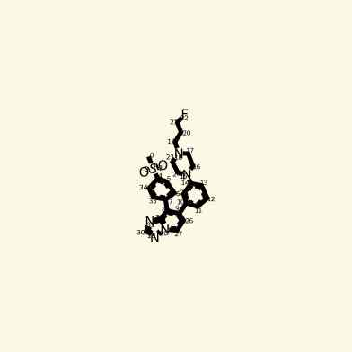 CS(=O)(=O)c1ccc(-c2c(-c3cccc(N4CCN(CCCF)CC4)c3)ccn3n[c]nc23)cc1